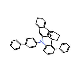 c1ccc(-c2ccc(N3c4cccc(-c5ccccc5)c4C45CCC(CC4)c4c5c3cc3ccccc43)cc2)cc1